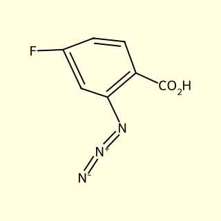 [N-]=[N+]=Nc1cc(F)ccc1C(=O)O